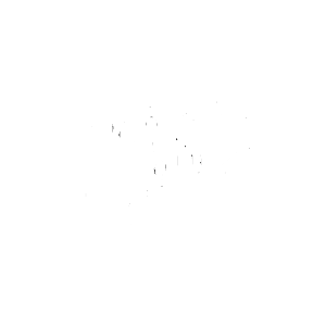 O=S(=O)(c1nccc2ccccc12)N1CCCCCN1